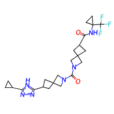 O=C(NC1(C(F)(F)F)CC1)C1CC2(C1)CN(C(=O)N1CC3(CC(c4nnc(C5CC5)[nH]4)C3)C1)C2